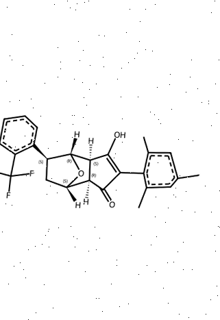 Cc1cc(C)c(C2=C(O)[C@@H]3[C@@H]4O[C@@H](C[C@H]4c4ccccc4C(F)(F)F)[C@@H]3C2=O)c(C)c1